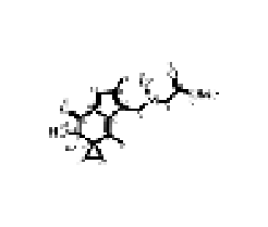 COC(=O)C[S+]([O-])CC1=C(C)C=C2C(=O)[C@](C)(O)C3(CC3)C(C)=C21